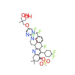 CC1(C)Cc2nc(C3CCN(c4ncc(OCC(C)(CO)CO)cn4)CC3)c(C(F)c3ccc(C(F)(F)F)cc3)c(C3CCC(F)(F)CC3)c2[C@@H](OS(C)(=O)=O)C1